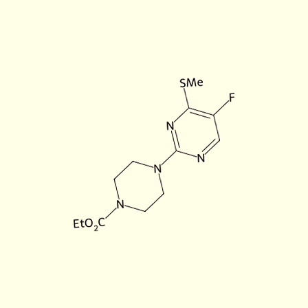 CCOC(=O)N1CCN(c2ncc(F)c(SC)n2)CC1